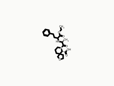 CCOC(=O)C(CCc1ccccc1)N[C@@H](C)C(=O)N1CCCC2(CCOC2)[C@H]1C(=O)O